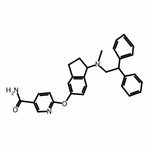 CN(CC(c1ccccc1)c1ccccc1)C1CCc2cc(Oc3ccc(C(N)=O)cn3)ccc21